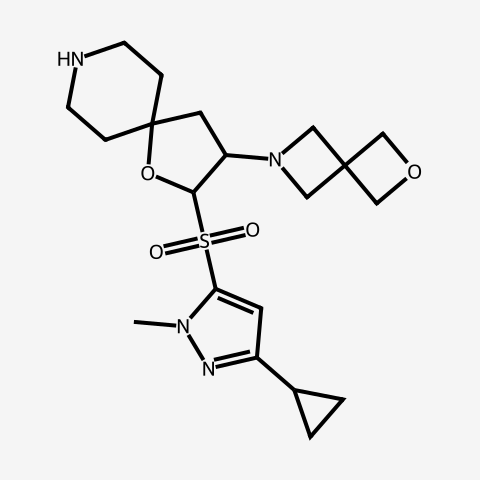 Cn1nc(C2CC2)cc1S(=O)(=O)C1OC2(CCNCC2)CC1N1CC2(COC2)C1